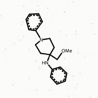 COCC1(Nc2ccccc2)CCN(c2ccccc2)CC1